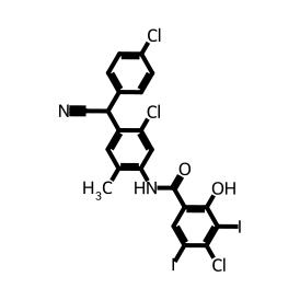 Cc1cc(C(C#N)c2ccc(Cl)cc2)c(Cl)cc1NC(=O)c1cc(I)c(Cl)c(I)c1O